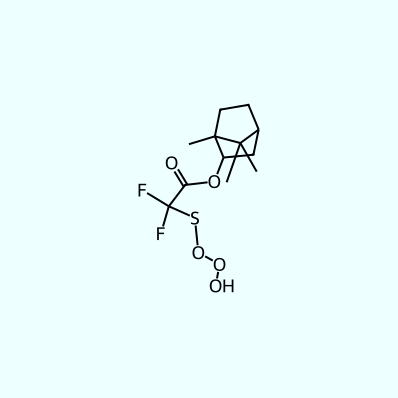 CC1(C)C2CCC1(C)C(OC(=O)C(F)(F)SOOO)C2